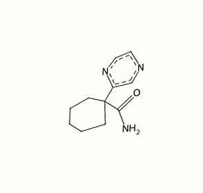 NC(=O)C1(c2cnccn2)CCCCC1